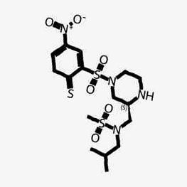 CC(C)CN(C[C@H]1CN(S(=O)(=O)C2=CC([N+](=O)[O-])=CCC2=S)CCN1)S(C)(=O)=O